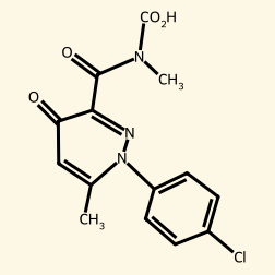 Cc1cc(=O)c(C(=O)N(C)C(=O)O)nn1-c1ccc(Cl)cc1